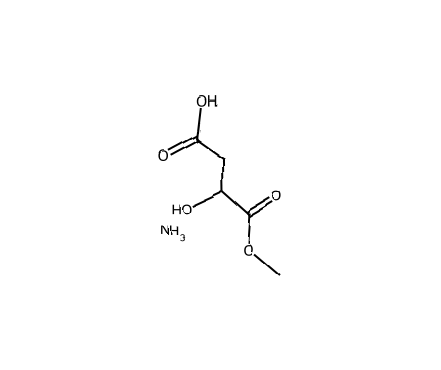 COC(=O)C(O)CC(=O)O.N